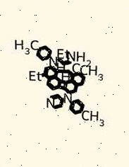 CCc1cc(N(C(/C=C\N)CC)C2CCC(C)CC2)c2c3c1C=CC1C3[C@@H]3C4=C(CCC(C)(C)C4C2)CC(N(C2=CCC(C)C=C2)C2C=CN=CC2)C13